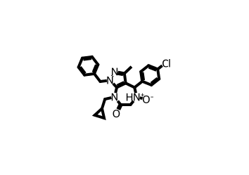 Cc1nn(Cc2ccccc2)c2c1C(c1ccc(Cl)cc1)[NH+]([O-])CC(=O)N2CC1CC1